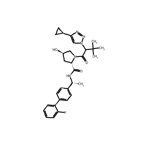 C[C@@H](NC(=O)[C@@H]1C[C@@H](O)CN1C(=O)C(n1cc(C2CC2)nn1)C(C)(C)C)c1ccc(-c2ccccc2F)cc1